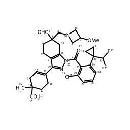 COC1CN(CC2(C=O)CCc3c(C4=CCC(C)(C(=O)O)CC4)nn(C(=O)c4c(Cl)cccc4C4(C(F)F)CC4)c3C2)C1